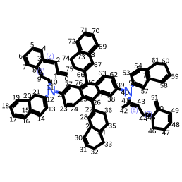 C=C/C=c1/cccc/c1=C/CN(C1=CC=C2C=CC=CC2C1)c1ccc2c(C3=CC4C=CCCC4CC3)c3cc(N(/C(C)=C/C=C4/CCC=CC4=C)c4ccc5c(c4)C=CCC5)ccc3c(C3=Cc4ccccc4CC3)c2c1